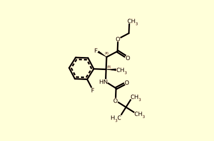 CCOC(=O)[C@H](F)[C@](C)(NC(=O)OC(C)(C)C)c1ccccc1F